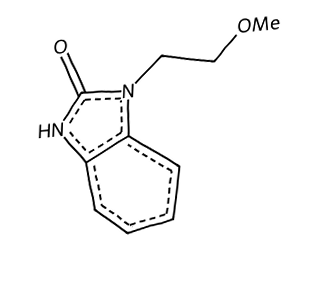 COCCn1c(=O)[nH]c2ccccc21